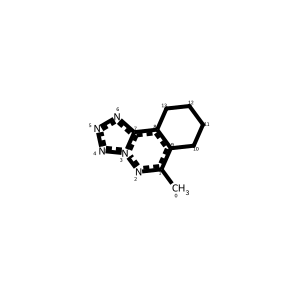 Cc1nn2nnnc2c2c1CCCC2